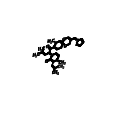 CC(C)CC(C(=O)N1CCC2(C[C@H]1C)OCC(CN1CCCC1)CO2)N1CCN(C)[C@@H](CC(C)C)C1=O